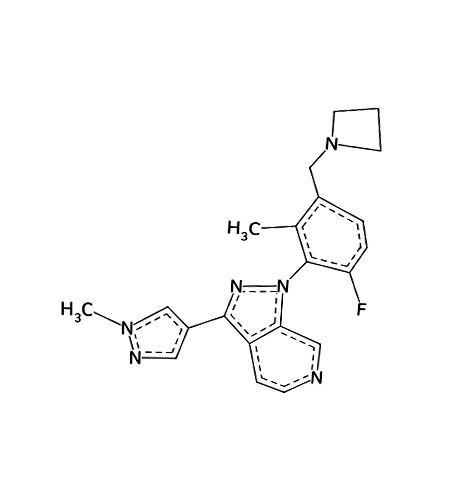 Cc1c(CN2CCC2)ccc(F)c1-n1nc(-c2cnn(C)c2)c2ccncc21